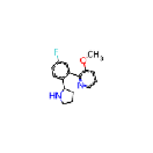 COc1cccnc1-c1cc(F)ccc1C1CCCN1